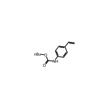 C=Cc1ccc(NC(=O)OCCCC)cc1